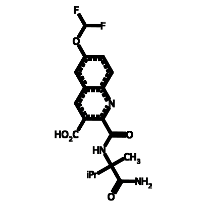 CC(C)C(C)(NC(=O)c1nc2ccc(OC(F)F)cc2cc1C(=O)O)C(N)=O